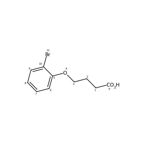 O=C(O)CCCOc1ccccc1Br